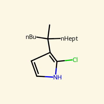 CCCCCCCC(C)(CCCC)c1cc[nH]c1Cl